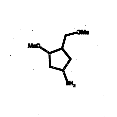 BC1CC(COC)C(OC)C1